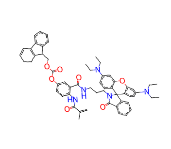 C=C(C)C(=O)Nc1ccc(OC(=O)OCC2C3=C(C=CCC3)c3ccccc32)cc1C(=O)NCCCN1C(=O)c2ccccc2C12c1ccc(N(CC)CC)cc1Oc1cc(N(CC)CC)ccc12